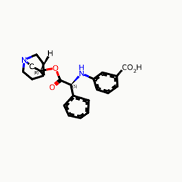 O=C(O)c1cccc(N[C@H](C(=O)O[C@H]2CN3CCC2CC3)c2ccccc2)c1